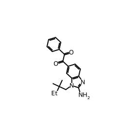 CCC(C)(C)Cn1c(N)nc2ccc(C(=O)C(=O)c3ccccc3)cc21